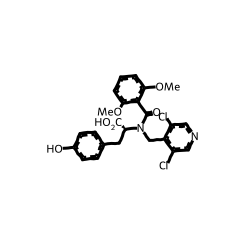 COc1cccc(OC)c1C(=O)N(Cc1c(Cl)cncc1Cl)[C@@H](Cc1ccc(O)cc1)C(=O)O